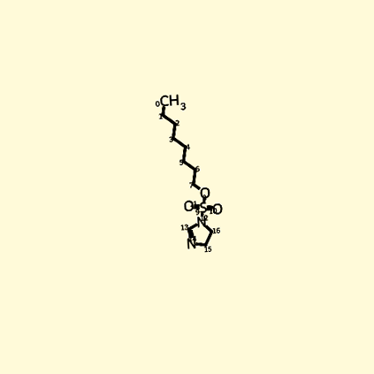 CCCCCCCCOS(=O)(=O)N1C=NCC1